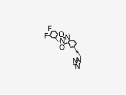 Cn1c(=O)n(Cc2ccc(F)c(F)c2)c(=O)c2cc(C#CCn3cncn3)ccc21